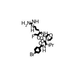 CC(C)[C@H](NC(=O)c1ccc(Br)cc1)C(=O)N1CCOC[C@H]1C(=O)N[C@@H](CCCNC(=N)N)C(=O)CF